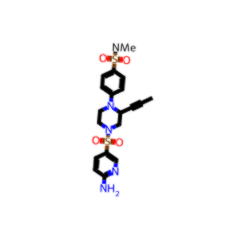 CC#CC1CN(S(=O)(=O)c2ccc(N)nc2)CCN1c1ccc(S(=O)(=O)NC)cc1